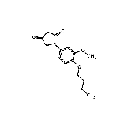 CCCCOc1ccc(N2CC(=O)CC2=O)cc1OC